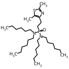 CCCCCCN(CCCCCC)P(=O)(CCc1nc(C)sc1C)N(CCCCCC)CCCCCC